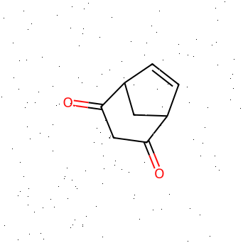 O=C1[CH]C(=O)C2C=CC1C2